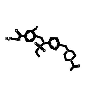 CCS(=O)(=O)N(Cc1ccc(C(=O)NN)cc1F)c1ccc(CN2CCN(C(C)=O)CC2)cc1